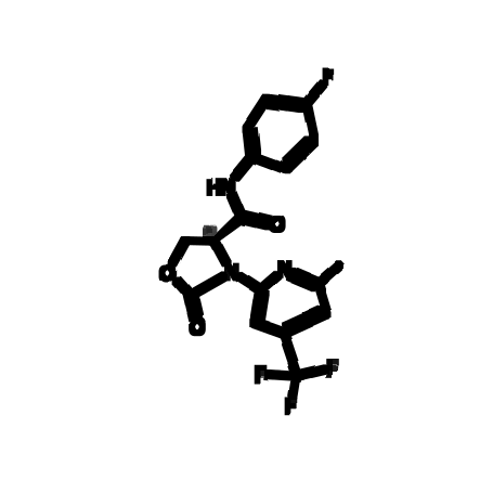 Cc1cc(C(F)(F)F)cc(N2C(=O)OC[C@H]2C(=O)Nc2ccc(F)cc2)n1